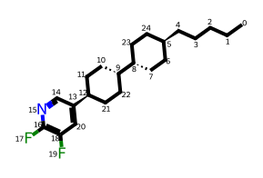 CCCCC[C@H]1CC[C@H]([C@H]2CC[C@H](c3cnc(F)c(F)c3)CC2)CC1